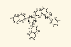 c1ccc(-c2nc3c(ccc4ccc(-c5nc(-c6ccc7ccccc7c6)nc(-c6ccc7ccccc7c6)n5)cc43)o2)cc1